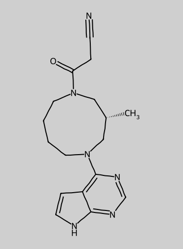 C[C@H]1CN(C(=O)CC#N)CCCCN(c2ncnc3[nH]ccc23)C1